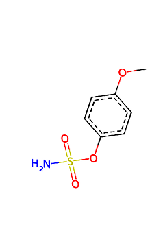 COc1ccc(OS(N)(=O)=O)cc1